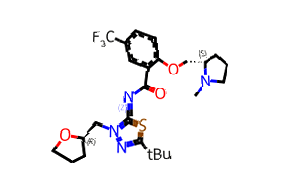 CN1CCC[C@H]1COc1ccc(C(F)(F)F)cc1C(=O)/N=c1\sc(C(C)(C)C)nn1C[C@H]1CCCO1